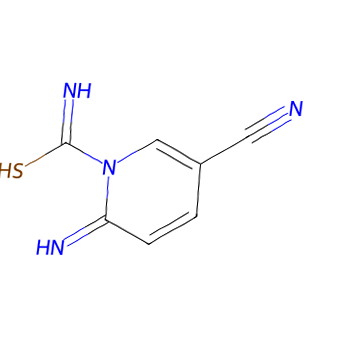 N#Cc1ccc(=N)n(C(=N)S)c1